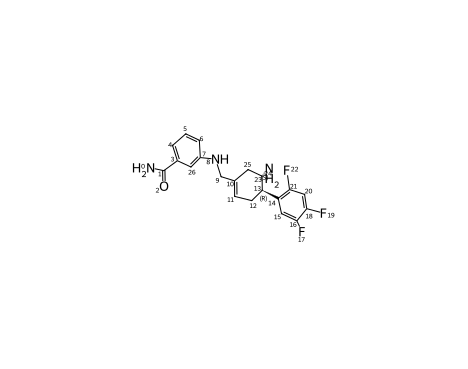 NC(=O)c1cccc(NCC2=CC[C@H](c3cc(F)c(F)cc3F)[C@@H](N)C2)c1